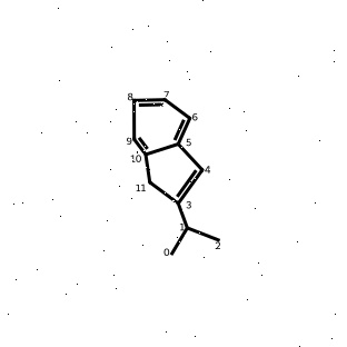 CC(C)C1=Cc2ccccc2C1